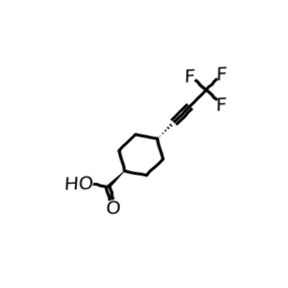 O=C(O)[C@H]1CC[C@H](C#CC(F)(F)F)CC1